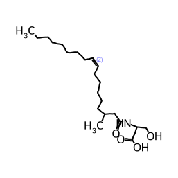 CCCCCCCC/C=C\CCCCCC(C)CC(=O)NC(CO)C(=O)O